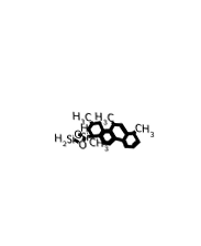 CC1Cc2c(ccc3c2C(C)C=C2C3=CC=CC2C)C(C)([SiH]2O[SiH2]O2)C1